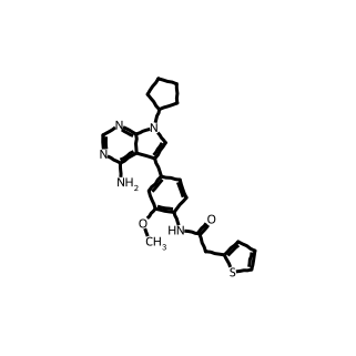 COc1cc(-c2cn(C3CCCC3)c3ncnc(N)c23)ccc1NC(=O)Cc1cccs1